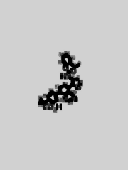 CC(OC(=O)Nc1cnoc1-c1ccc(-c2ccc(C3(C(=O)O)CC3)cc2)c2ncncc12)c1ccccc1